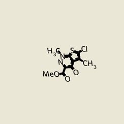 COC(=O)c1nn(C)c2sc(Cl)c(C)c2c1=O